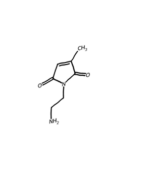 CC1=CC(=O)N(CCN)C1=O